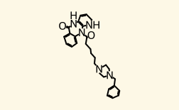 O=C1NC2=C(NCC=C2)N(C(=O)CCCCCN2CCN(Cc3ccccc3)CC2)c2ccccc21